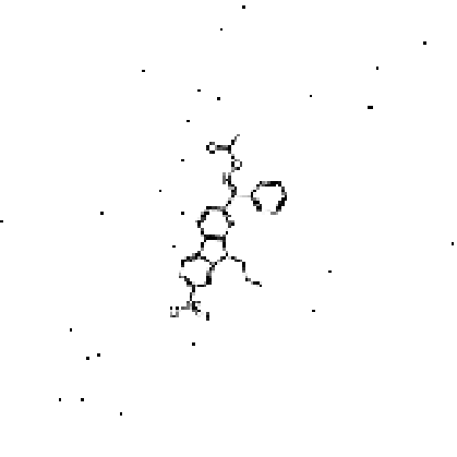 CCCC1c2cc(/C(=N/OC(C)=O)c3ccccc3)ccc2-c2ccc([N+](=O)[O-])cc21